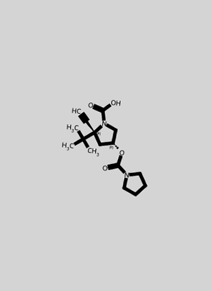 C#C[C@]1(C(C)(C)C)C[C@@H](OC(=O)N2CCCC2)CN1C(=O)O